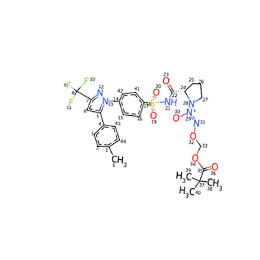 Cc1ccc(-c2cc(C(F)(F)F)nn2-c2ccc(S(=O)(=O)NC(=O)[C@@H]3CCCN3[N+]([O-])=NOCOC(=O)C(C)(C)C)cc2)cc1